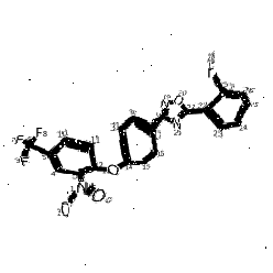 O=[N+]([O-])c1cc(C(F)(F)F)ccc1Oc1ccc(-c2noc(-c3ccccc3F)n2)cc1